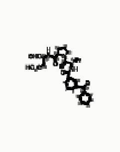 CC(C)[C@H](NC(=O)c1cccc(C(=O)c2ccccc2)c1)C(=O)N1CCCC1C(=O)N[C@H](C=O)CC(=O)O